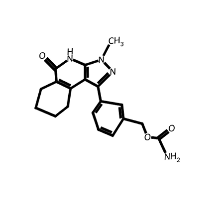 Cn1nc(-c2cccc(COC(N)=O)c2)c2c3c(c(=O)[nH]c21)CCCC3